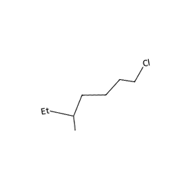 CCC(C)CCCCCl